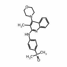 Cc1c(Nc2ccc(P(C)(C)=O)cc2)nc2ccccc2c1N1CCOCC1